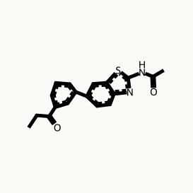 CCC(=O)c1cccc(-c2ccc3nc(NC(C)=O)sc3c2)c1